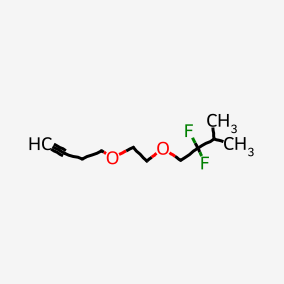 C#CCCOCCOCC(F)(F)C(C)C